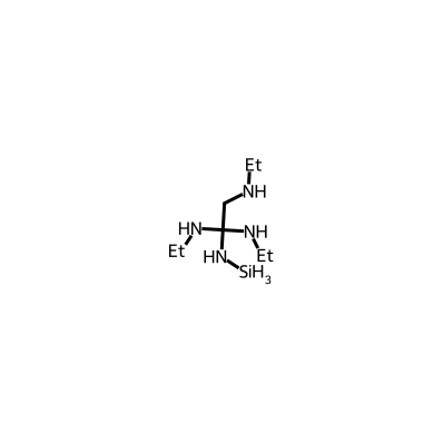 CCNCC(N[SiH3])(NCC)NCC